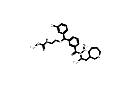 CNN(C(=O)c1cccc(C(OCCNC(=O)OC)c2cccc(Cl)c2)c1)C(C)CC1CCCCOC1